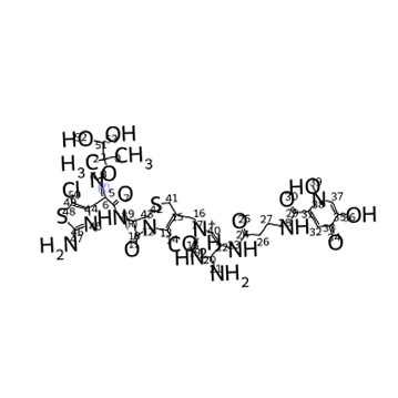 CC(C)(O/N=C(\C(=O)N[C@@H]1C(=O)N2C(C(=O)O)=C(C[N+]3=CNC(N)C(NC(=O)CCNC(=O)c4cc(=O)c(O)cn4O)=C3)CSC12)c1nc(N)sc1Cl)C(O)O